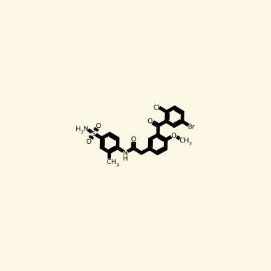 COc1ccc(CC(=O)Nc2ccc(S(N)(=O)=O)cc2C)cc1C(=O)c1cc(Br)ccc1Cl